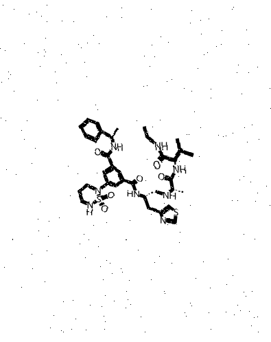 CCNC(=O)[C@@H](NC(=O)[C@H](C)NC[C@H](Cc1cscn1)NC(=O)c1cc(C(=O)N[C@H](C)c2ccccc2)cc(N2CCCNS2(=O)=O)c1)C(C)C